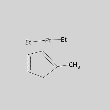 CC1=CC=CC1.C[CH2][Pt][CH2]C